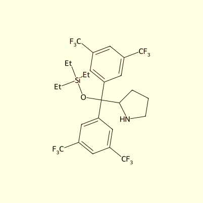 CC[Si](CC)(CC)OC(c1cc(C(F)(F)F)cc(C(F)(F)F)c1)(c1cc(C(F)(F)F)cc(C(F)(F)F)c1)C1CCCN1